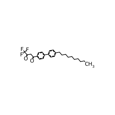 CCCCCCCCCCc1ccc(-c2ccc(C(=O)CC(=O)C(F)(F)F)cc2)cc1